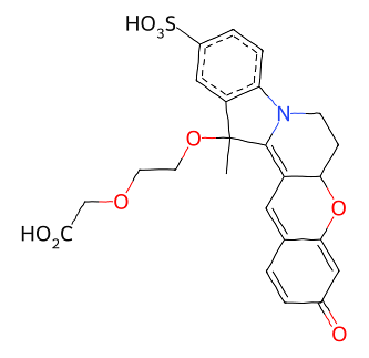 CC1(OCCOCC(=O)O)C2=C3C=C4C=CC(=O)C=C4OC3CCN2c2ccc(S(=O)(=O)O)cc21